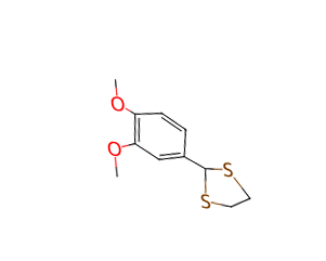 COc1ccc(C2SCCS2)cc1OC